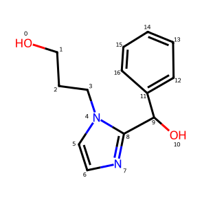 OCCCn1ccnc1C(O)c1ccccc1